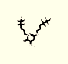 C=C(CC(=O)OCCCC(F)(F)C(F)(F)F)C(=O)OCCCC(F)(F)C(F)(F)F